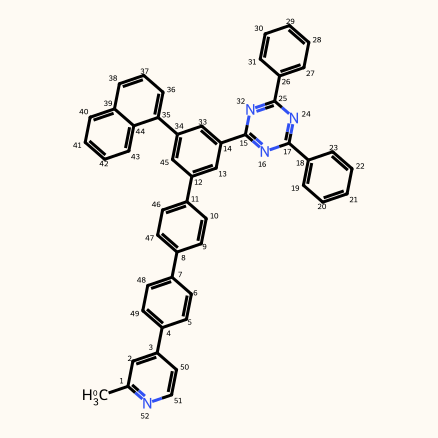 Cc1cc(-c2ccc(-c3ccc(-c4cc(-c5nc(-c6ccccc6)nc(-c6ccccc6)n5)cc(-c5cccc6ccccc56)c4)cc3)cc2)ccn1